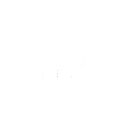 Cc1ccccc1.O=C(c1ccccc1)C(S)Cl